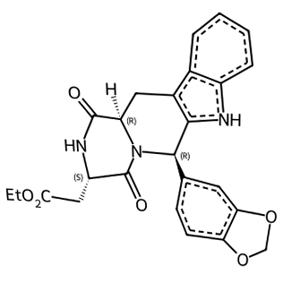 CCOC(=O)C[C@@H]1NC(=O)[C@H]2Cc3c([nH]c4ccccc34)[C@@H](c3ccc4c(c3)OCO4)N2C1=O